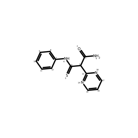 NC(=O)C(C(=S)Nc1ccccc1)c1ncccn1